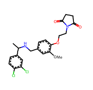 COc1cc(CNC(C)c2ccc(Cl)c(Cl)c2)ccc1OCCN1C(=O)CCC1=O